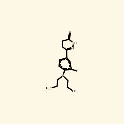 CCCN(CCC)c1ccc(C2=NNC(=O)CC2)cc1F